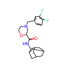 O=C(NC1C2CC3CC(C2)CC1C3)C1CN(Cc2ccc(F)c(F)c2)CCO1